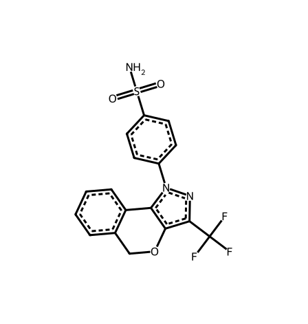 NS(=O)(=O)c1ccc(-n2nc(C(F)(F)F)c3c2-c2ccccc2CO3)cc1